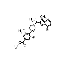 COC(=O)c1cc(C)c(C2=CCN(C(C)c3cc4c(Br)ccnc4n3C)CC2)c(F)c1